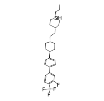 CCC[Si@H]1CC[C@H](CC[C@H]2CC[C@H](c3ccc(-c4ccc(C(F)(F)F)c(F)c4)cc3)CC2)CC1